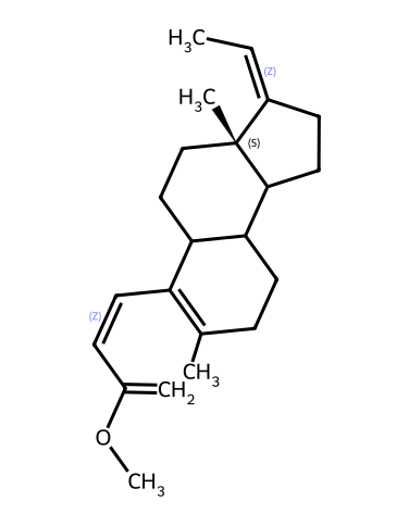 C=C(/C=C\C1=C(C)CCC2C1CC[C@]1(C)/C(=C\C)CCC21)OC